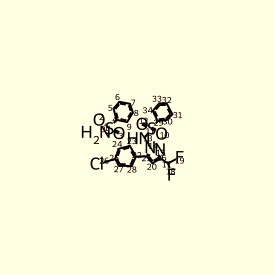 NS(=O)(=O)c1ccccc1.O=S(=O)(Nn1nc(C(F)F)cc1-c1ccc(Cl)cc1)c1ccccc1